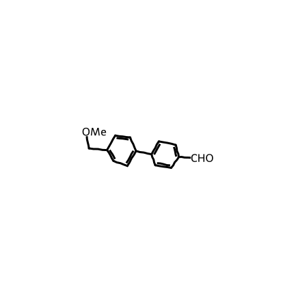 COCc1ccc(-c2ccc(C=O)cc2)cc1